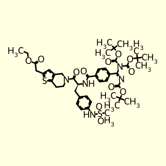 CCOC(=O)Cc1cc2c(s1)CCN(C(=O)[C@H](Cc1ccc(NS(C)(=O)=O)cc1)NC(=O)c1ccc(C(=NC(=O)OC(C)(C)C)N(C(=O)OC(C)(C)C)C(=O)OC(C)(C)C)cc1)C2